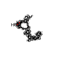 CCC(C)(C)[C@H]1O[C@]2(CC[C@@H]1C)C[C@@H]1C[C@@](C)(C/C=C(\C)[C@@H](O[C@H]3C[C@H](OC)[C@@H](O[C@H]4C[C@H](OC)[C@@H](OC(=O)/C=C\NC(=O)[C@@H]5OC(C)(C)OCC5(C)C)[C@H](C)O4)[C@H](C)O3)[C@@H](C)/C=C/C=C3\CO[C@@H]4[C@H](O)C(C)=C[C@@H](C(=O)O1)[C@]34O)O2